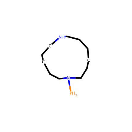 PN1CCCCCCNCCCCC1